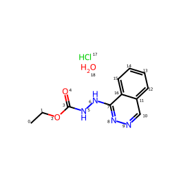 CCOC(=O)NNc1nncc2ccccc12.Cl.O